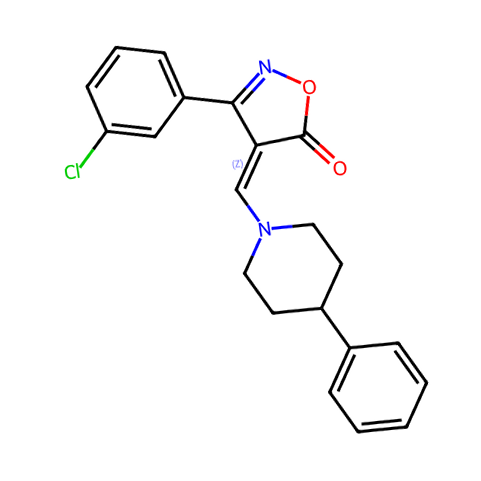 O=C1ON=C(c2cccc(Cl)c2)/C1=C/N1CCC(c2ccccc2)CC1